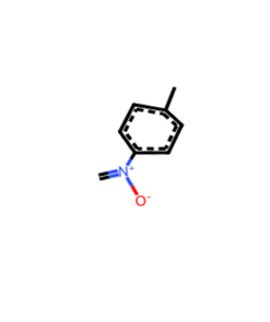 C=[N+]([O-])c1ccc(C)cc1